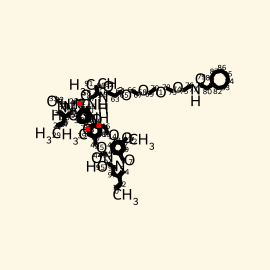 C/C=C/C1=CN2C(=O)c3cc(OC)c(OCCCOc4cc(/N=C\N5CC(/C=C/C)=CN5C=O)c(C)cc4OC)cc3N(C(=O)OCc3ccc(NC(=O)C(C)NC(=O)[C@@H](NC(=O)CCOCCOCCOCCOCCNC(=O)CC4CCCCCCC4)C(C)C)cc3)C(O)C2C1